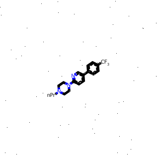 CCCN1CCN(c2ccc(-c3ccc(C(F)(F)F)cc3)cn2)CC1